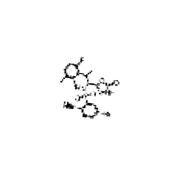 Cc1ccc(F)c(C(C)C(NS(=O)(=O)c2cc(Br)ccc2C#N)c2n[nH]c(=O)o2)c1C